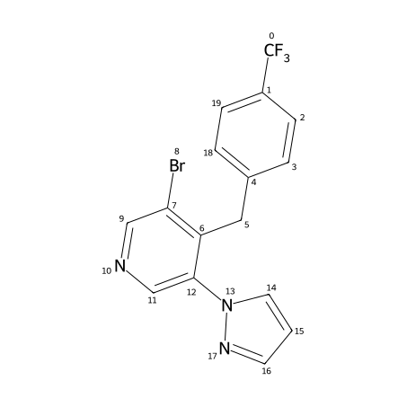 FC(F)(F)c1ccc(Cc2c(Br)cncc2-n2cccn2)cc1